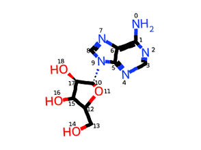 Nc1ncnc2c1ncn2[C@@H]1OC(CO)C(O)[C@H]1O